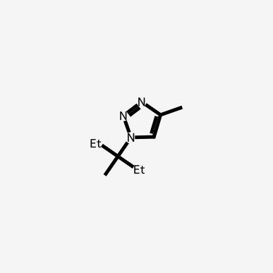 CCC(C)(CC)n1cc(C)nn1